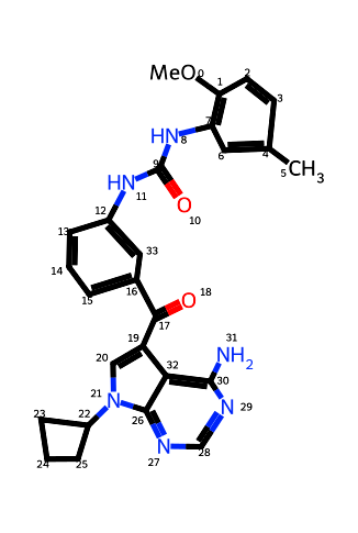 COc1ccc(C)cc1NC(=O)Nc1cccc(C(=O)c2cn(C3CCC3)c3ncnc(N)c23)c1